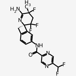 C[C@@]1(F)CC(F)(F)[C@]2(Cc3ccc(NC(=O)c4cnc(C(F)F)cn4)cc32)N=C1N